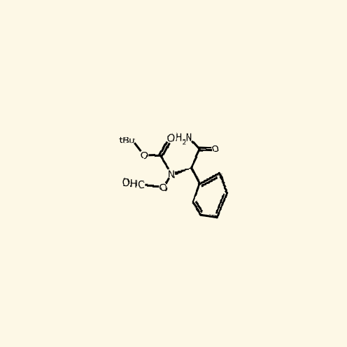 CC(C)(C)OC(=O)N(OC=O)[C@@H](C(N)=O)c1ccccc1